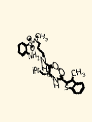 Cc1c(C(=O)N[C@@H](CC(C)C)C(=O)NCCCN(C)S(=O)(=O)c2ccccc2N)sc2ccccc12